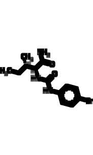 CC[C@H](C)[C@H](NC(=O)Nc1ccc(Br)cc1)C(N)=O